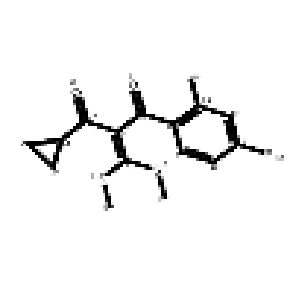 CSC(SC)=C(C(=O)c1ccc(F)cc1C)C(=O)C1CC1